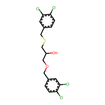 OC(COCc1ccc(Cl)c(Cl)c1)CSCc1ccc(Cl)c(Cl)c1